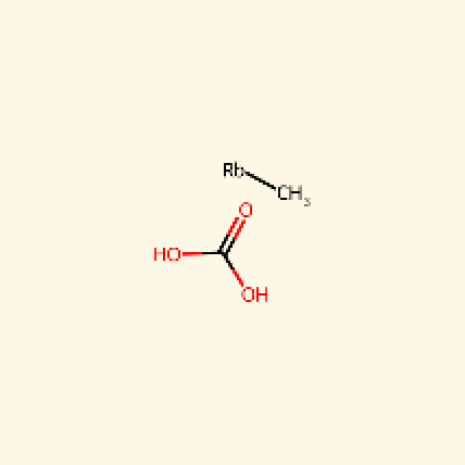 O=C(O)O.[CH3][Rb]